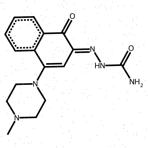 CN1CCN(C2=CC(=NNC(N)=O)C(=O)c3ccccc32)CC1